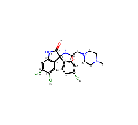 CN1CCN(CC(=O)NC2(c3ccc(Cl)cc3)C(=O)Nc3cc(Cl)c(Cl)cc32)CC1